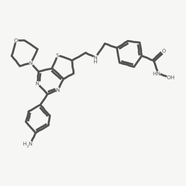 Nc1ccc(-c2nc3c(c(N4CCOCC4)n2)SC(CNCc2ccc(C(=O)NO)cc2)C3)cc1